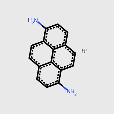 Nc1ccc2ccc3c(N)ccc4ccc1c2c43.[H+]